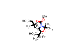 CC(C)[C@](C)(C(=O)O)[C@@H]1OC(C)(C)N(C(=O)OC(C)(C)C)[C@H]1CC(C)(C)CC(=O)O